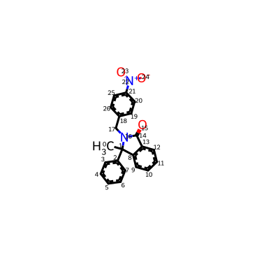 CC1(c2ccccc2)c2ccccc2C(=O)N1Cc1ccc([N+](=O)[O-])cc1